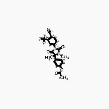 CC(=O)Oc1ccc(C2(C)C(=O)N(c3ccc(C#N)c(C(F)(F)F)c3)C(=O)N2C)cc1